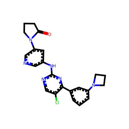 O=C1CCCN1c1cncc(Nc2ncc(Cl)c(-c3cccc(N4CCC4)c3)n2)c1